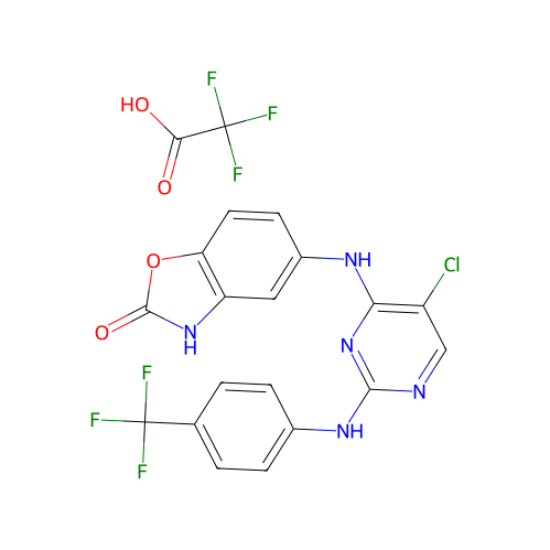 O=C(O)C(F)(F)F.O=c1[nH]c2cc(Nc3nc(Nc4ccc(C(F)(F)F)cc4)ncc3Cl)ccc2o1